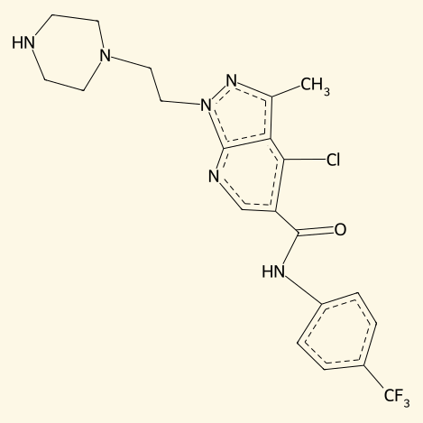 Cc1nn(CCN2CCNCC2)c2ncc(C(=O)Nc3ccc(C(F)(F)F)cc3)c(Cl)c12